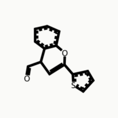 O=CC1C=C(c2cccs2)Oc2ccccc21